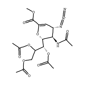 COC(=O)C1=C[C@H](N=[N+]=[N-])[C@@H](NC(C)=O)[C@H]([C@H](OC(C)=O)C(COC(C)=O)OC(C)=O)O1